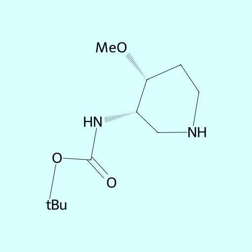 CO[C@@H]1CCNC[C@@H]1NC(=O)OC(C)(C)C